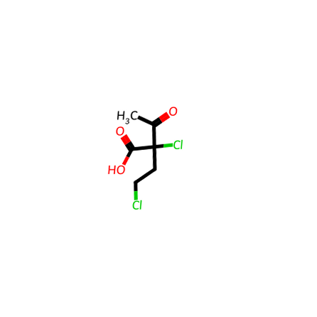 CC(=O)C(Cl)(CCCl)C(=O)O